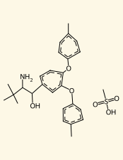 CS(=O)(=O)O.Cc1ccc(Oc2ccc(C(O)C(N)C(C)(C)C)cc2Oc2ccc(C)cc2)cc1